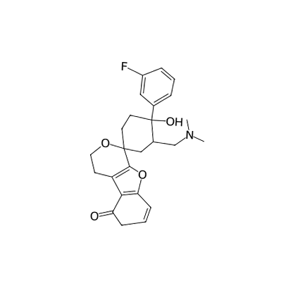 CN(C)CC1CC2(CCC1(O)c1cccc(F)c1)OCCc1c2oc2c1C(=O)CC=C2